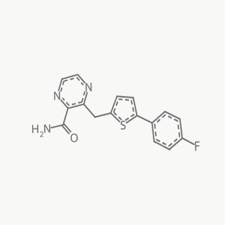 NC(=O)c1nccnc1Cc1ccc(-c2ccc(F)cc2)s1